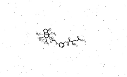 C=C[C@]1(C)C[C@@H](OC(=O)CSc2cccc(CNC(=O)[C@H](N)CCC(N)=O)c2)[C@]2(C)C(C)CCC3(CCC(=O)C32)[C@@H](C)[C@@H]1O